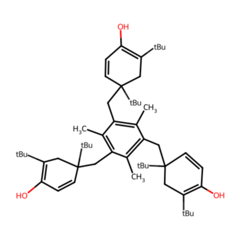 Cc1c(CC2(C(C)(C)C)C=CC(O)=C(C(C)(C)C)C2)c(C)c(CC2(C(C)(C)C)C=CC(O)=C(C(C)(C)C)C2)c(C)c1CC1(C(C)(C)C)C=CC(O)=C(C(C)(C)C)C1